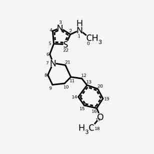 CNc1ncc(CN2CCCC(Cc3ccc(OC)cc3)C2)s1